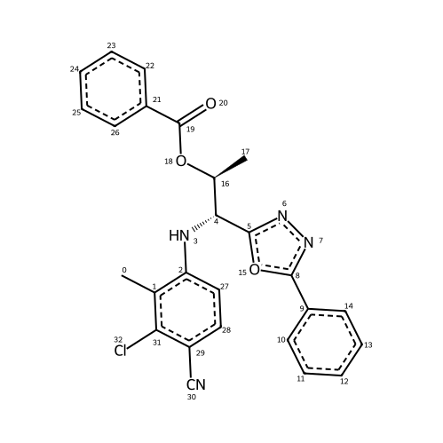 Cc1c(N[C@@H](c2nnc(-c3ccccc3)o2)[C@H](C)OC(=O)c2ccccc2)ccc(C#N)c1Cl